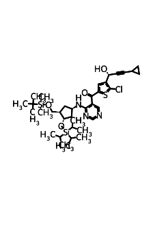 CC(C)[Si](O[C@H]1C[C@H](Nc2ncncc2C(=O)c2cc([C@H](O)C#CC3CC3)c(Cl)s2)C[C@@H]1CO[Si](C)(C)C(C)(C)C)(C(C)C)C(C)C